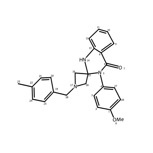 COc1ccc(N2C(=O)c3ccccc3NC23CN(Cc2ccc(C)cc2)C3)cc1